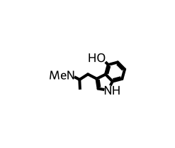 CNC(C)Cc1c[nH]c2cccc(O)c12